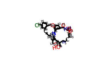 C[C@@H]1[C@@H](C)C/C=C/C(CO)[C@@H]2OCC[C@H]2CN2CCCCc3cc(Cl)ccc3COc3ccc(cc32)C(=O)NS1(=O)=O